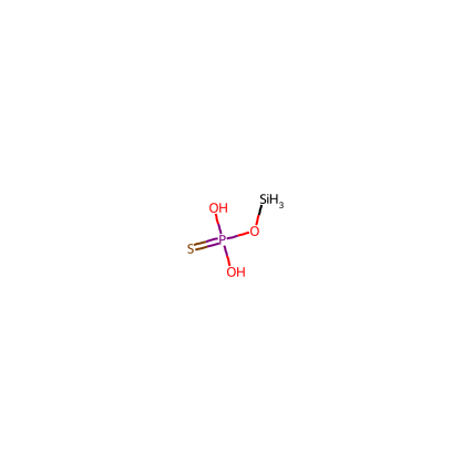 OP(O)(=S)O[SiH3]